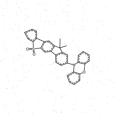 CC1(C)c2cc(N3c4ccccc4Oc4ccccc43)ccc2-c2cc3c(cc21)-c1ccccc1S3(=O)=O